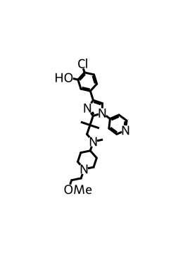 COCCN1CCC(N(C)CC(C)(C)c2nc(-c3ccc(Cl)c(O)c3)cn2-c2ccncc2)CC1